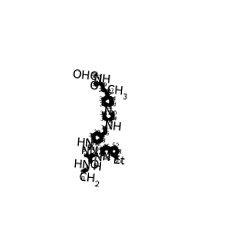 C=CCNC(=O)c1cnc(Nc2ccc(CCNC3CCN(c4ccc(C(C)CCC(=O)NC=O)cc4)CC3)cc2)nc1Nc1ccc2c(n1)C(CC)CC2